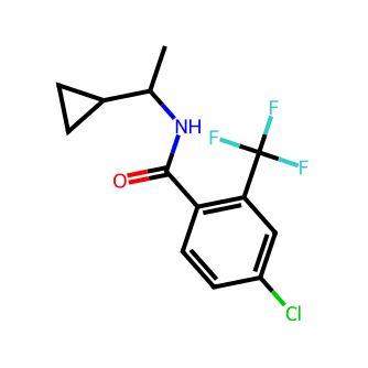 CC(NC(=O)c1ccc(Cl)cc1C(F)(F)F)C1CC1